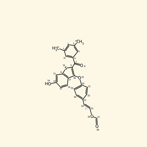 Cc1cc(C)cc(C(=O)c2sc3cc(O)ccc3c2Oc2ccc(/C=C/OC=O)cc2)c1